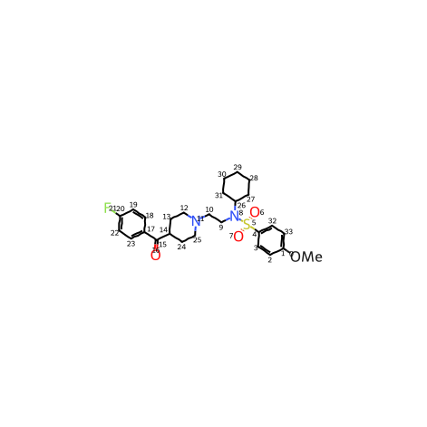 COc1ccc(S(=O)(=O)N(CCN2CCC(C(=O)c3ccc(F)cc3)CC2)C2CCCCC2)cc1